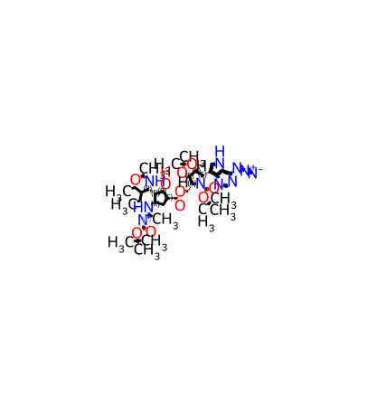 CCC(CC)[C@H](NC(C)=O)[C@@H]1[C@H](O)[C@@H](C(=O)OC[C@@H]2[C@H]3OC(C)(C)O[C@H]3[C@H](c3c[nH]c4c(N=[N+]=[N-])ncnc34)N2C(=O)OC(C)(C)C)C[C@H]1N/C(C)=N/C(=O)OC(C)(C)C